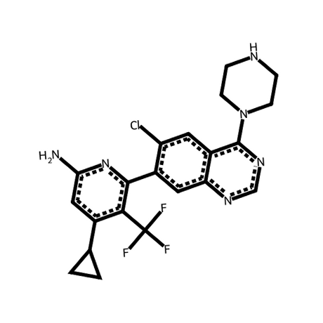 Nc1cc(C2CC2)c(C(F)(F)F)c(-c2cc3ncnc(N4CCNCC4)c3cc2Cl)n1